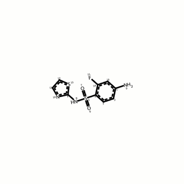 Nc1ccc(S(=O)(=O)Nc2nccs2)c(F)c1